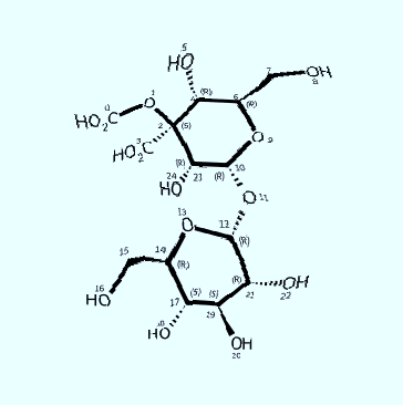 O=C(O)O[C@@]1(C(=O)O)[C@H](O)[C@@H](CO)O[C@H](O[C@H]2O[C@H](CO)[C@@H](O)[C@H](O)[C@H]2O)[C@@H]1O